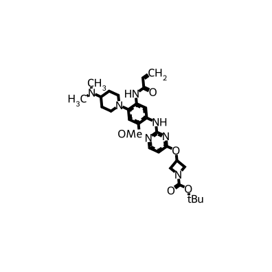 C=CC(=O)Nc1cc(Nc2nccc(OC3CN(C(=O)OC(C)(C)C)C3)n2)c(OC)cc1N1CCC(N(C)C)CC1